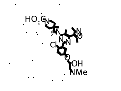 CNCC(O)COc1ccc(Cl)c(-c2nc(-c3c(C)noc3C)c(C)c(N3CC4(CCN(C(=O)O)CC4)[C@H]3C)n2)c1